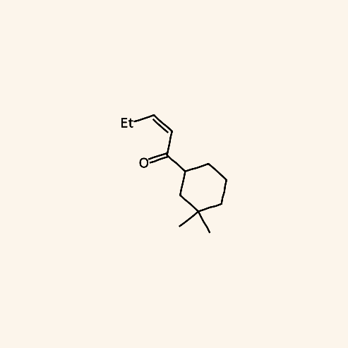 CC/C=C\C(=O)C1CCCC(C)(C)C1